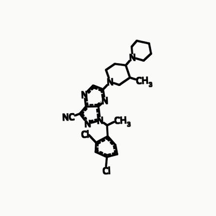 CC1CN(c2cnc3c(C#N)nn(C(C)c4ccc(Cl)cc4Cl)c3n2)CCC1N1CCCCC1